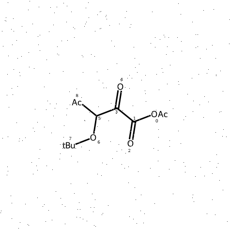 CC(=O)OC(=O)C(=O)C(OC(C)(C)C)C(C)=O